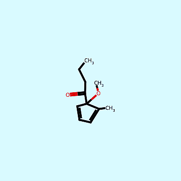 CCCC(=O)C1(OC)C=CC=C1C